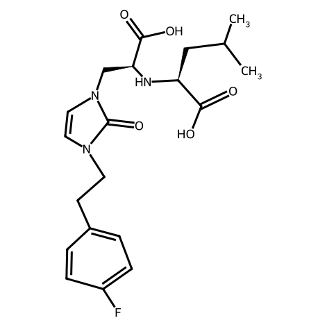 CC(C)C[C@H](N[C@@H](Cn1ccn(CCc2ccc(F)cc2)c1=O)C(=O)O)C(=O)O